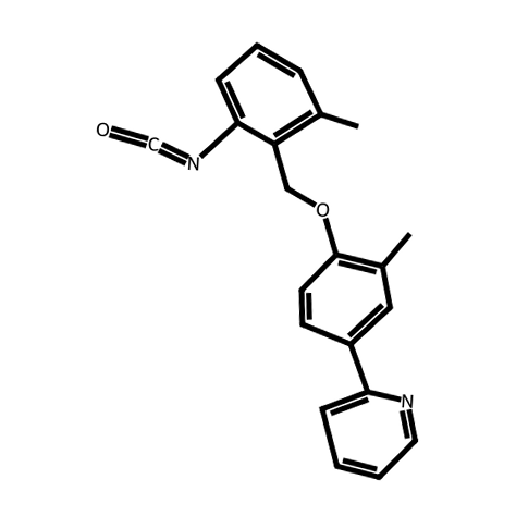 Cc1cc(-c2ccccn2)ccc1OCc1c(C)cccc1N=C=O